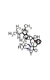 C#C[C@](O)(Cn1cnc2c(NC(C)C)nc(C)nc21)C(COC(Cc1ccccc1)(C(=O)OI)C(=C/C)/N=C\C)OC